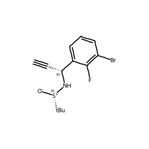 C#C[C@@H](N[S@@+]([O-])C(C)(C)C)c1cccc(Br)c1F